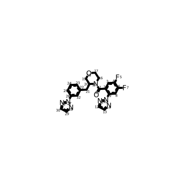 O=C(c1cc(F)c(F)cc1-n1nccn1)N1CCOCC1Cc1cccc(-n2nccn2)c1